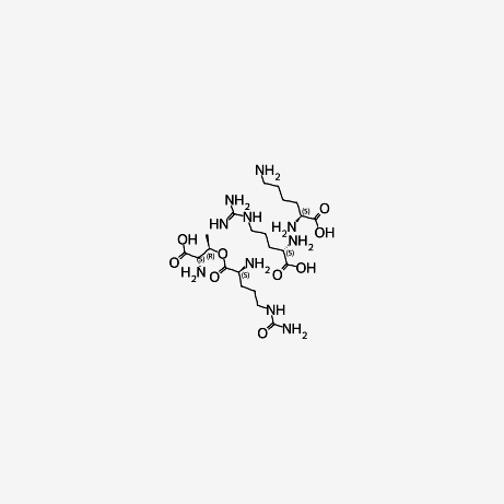 C[C@@H](OC(=O)[C@@H](N)CCCNC(N)=O)[C@H](N)C(=O)O.N=C(N)NCCC[C@H](N)C(=O)O.NCCCC[C@H](N)C(=O)O